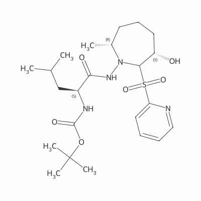 CC(C)C[C@H](NC(=O)OC(C)(C)C)C(=O)NN1C(S(=O)(=O)c2ccccn2)[C@@H](O)CCC[C@H]1C